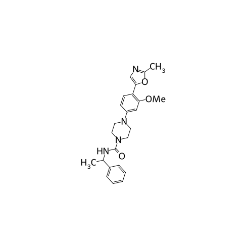 COc1cc(N2CCN(C(=O)NC(C)c3ccccc3)CC2)ccc1-c1cnc(C)o1